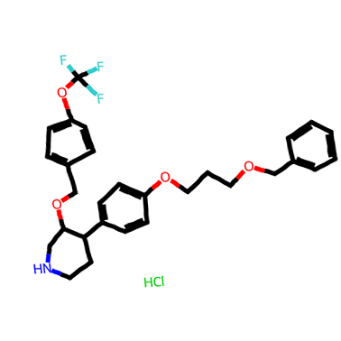 Cl.FC(F)(F)Oc1ccc(COC2CNCCC2c2ccc(OCCCOCc3ccccc3)cc2)cc1